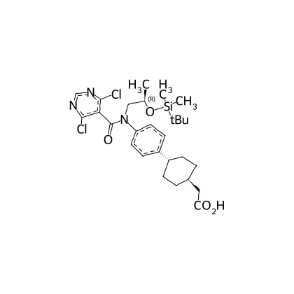 C[C@H](CN(C(=O)c1c(Cl)ncnc1Cl)c1ccc([C@H]2CC[C@H](CC(=O)O)CC2)cc1)O[Si](C)(C)C(C)(C)C